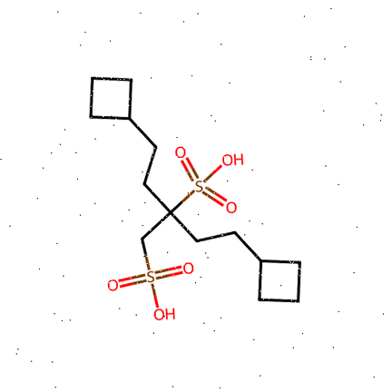 O=S(=O)(O)CC(CCC1CCC1)(CCC1CCC1)S(=O)(=O)O